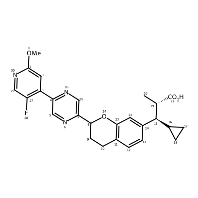 COc1cc(-c2cnc(C3CCc4ccc([C@H](C5CC5)[C@H](C)C(=O)O)cc4O3)cn2)c(F)cn1